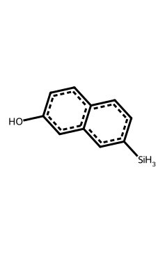 Oc1ccc2ccc([SiH3])cc2c1